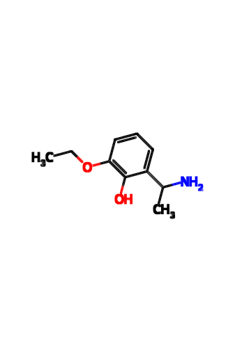 CCOc1cccc(C(C)N)c1O